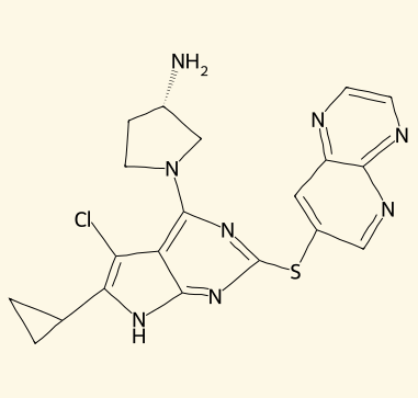 N[C@H]1CCN(c2nc(Sc3cnc4nccnc4c3)nc3[nH]c(C4CC4)c(Cl)c23)C1